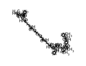 CC[C@H](NC(=O)[C@@H]1C[C@@H](NC(=O)CCCCCNC(=O)CCOCCOCCOCCC(=O)NCCCCCC(=O)N[C@@H]2C[C@@H](C(=O)N[C@@H](CCNC(=O)[C@H](CC(C)C)N(C)C(=O)Cc3ccc(NC(=O)Nc4ccccc4C)cc3)C(=O)O)N(Cc3ccccc3)C2)CN1S(=O)(=O)c1ccccc1)C(=O)O